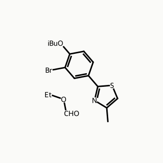 CCOC=O.Cc1csc(-c2ccc(OCC(C)C)c(Br)c2)n1